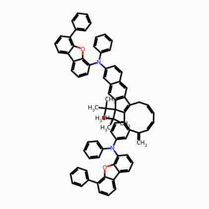 C=C1/C=C\C=C/CC2=C(c3ccc(N(c4ccccc4)c4cccc5c4oc4c(-c6ccccc6)cccc45)cc31)C(C(C)(C)C)(C(C)(C)C)c1cc3cc(N(c4ccccc4)c4cccc5c4oc4c(-c6ccccc6)cccc45)ccc3cc12